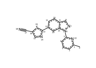 Cc1cccc(-n2ncc3ccc(-c4ncc(C#N)s4)cc32)n1